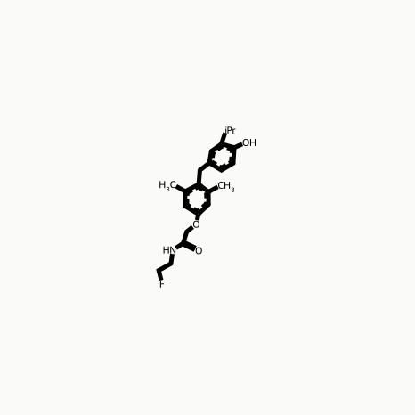 Cc1cc(OCC(=O)NCCF)cc(C)c1Cc1ccc(O)c(C(C)C)c1